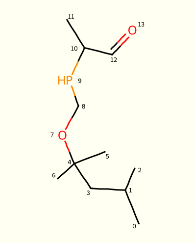 CC(C)CC(C)(C)OCPC(C)C=O